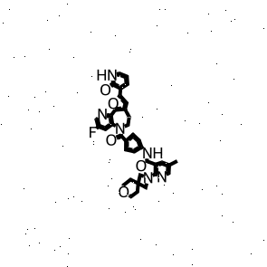 Cc1cnc(N2CC3(CCOCC3)C2)c(C(=O)Nc2ccc(C(=O)N3CCc4cc(-c5ccc[nH]c5=O)oc4-c4ncc(F)cc43)cc2)c1